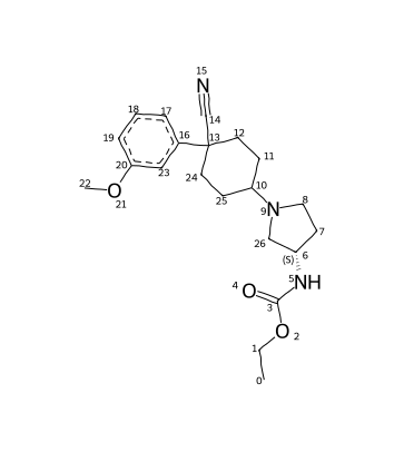 CCOC(=O)N[C@H]1CCN(C2CCC(C#N)(c3cccc(OC)c3)CC2)C1